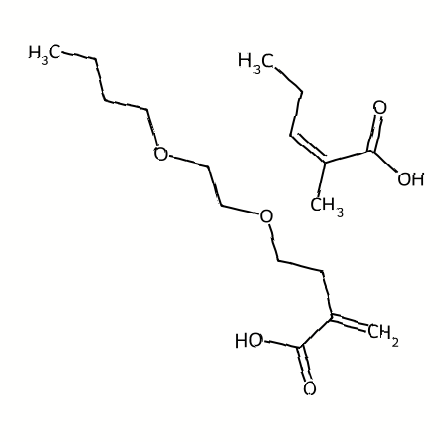 C=C(CCOCCOCCCC)C(=O)O.CCC=C(C)C(=O)O